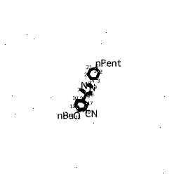 CCCCC[C@H]1CC[C@H](c2ncc(-c3ccc(OCCCC)c(C#N)c3)cn2)CC1